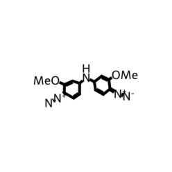 COC1=CC(NC2C=CC(=[N+]=[N-])C(OC)=C2)C=CC1=[N+]=[N-]